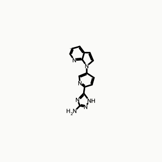 Nc1n[nH]c(-c2ccc(-n3ccc4c[c]cnc43)cn2)n1